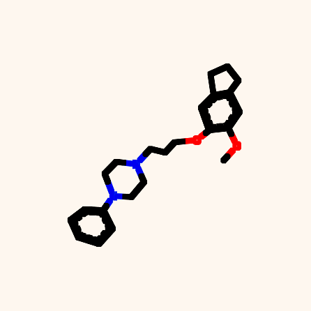 COc1cc2c(cc1OCCCN1CCN(c3ccccc3)CC1)CCC2